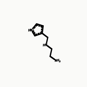 NCCNCc1cc[nH]c1